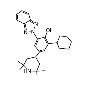 CC1(C)CC(c2cc(C3CCCCC3)c(O)c(-n3nc4ccccc4n3)c2)CC(C)(C)N1